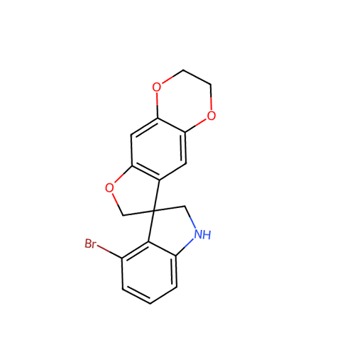 Brc1cccc2c1C1(CN2)COc2cc3c(cc21)OCCO3